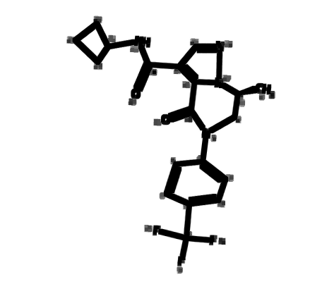 C[C@H]1CN(c2ccc(C(F)(F)F)cc2)C(=O)c2c(C(=O)NC3CCC3)cnn21